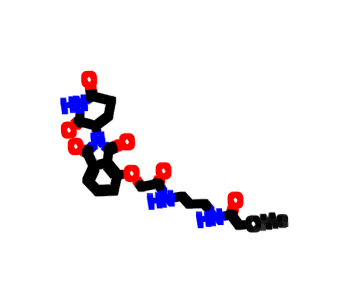 COCC(=O)NCCCNC(=O)COc1cccc2c1C(=O)N(C1CCC(=O)NC1=O)C2=O